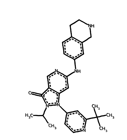 CC(C)n1c(=O)c2cnc(Nc3ccc4c(c3)CNCC4)cc2n1-c1ccnc(C(C)(C)C)c1